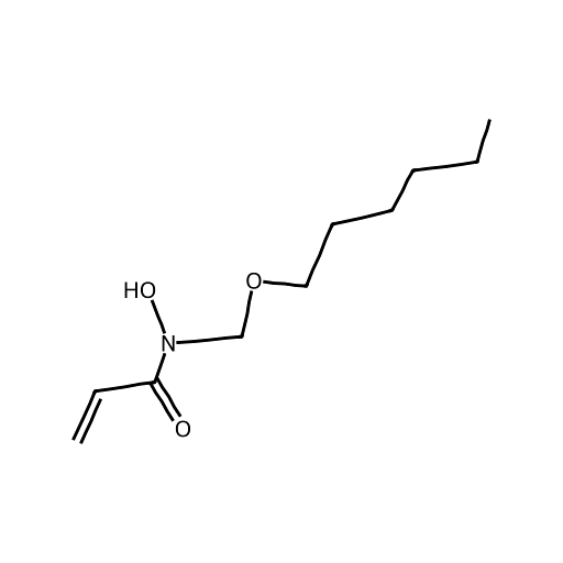 C=CC(=O)N(O)COCCCCCC